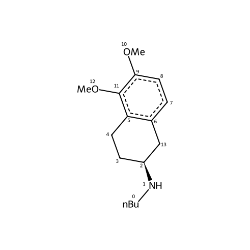 CCCCN[C@H]1CCc2c(ccc(OC)c2OC)C1